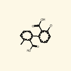 Cc1cccc(-c2cccc(Cl)c2C(=O)O)c1C(=O)O